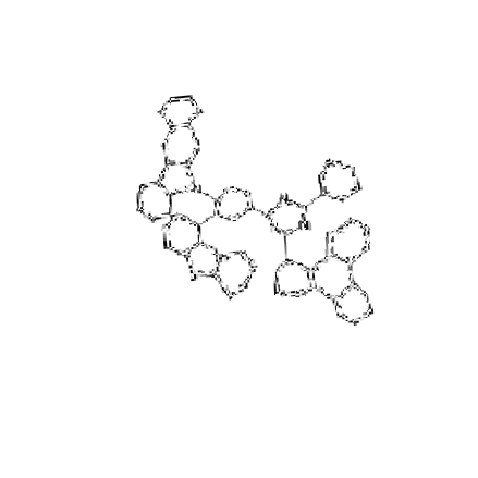 c1ccc(-c2nc(-c3ccc(-n4c5ccccc5c5cc6ccccc6cc54)c(-c4cccc5sc6ccccc6c45)c3)nc(-c3cccc4c5ccccc5c5ccccc5c34)n2)cc1